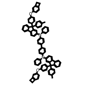 Cc1ccc(C2(c3ccc(Oc4ccc5c(c4)CC5)cc3)c3ccccc3-c3ccc(N(c4ccccc4)c4ccc(-c5ccc(N(c6ccccc6)c6ccc7c(c6)C(c6ccc(C)cc6)(C6C=CC(Oc8ccc9c(c8)CC9)=CC6)c6ccccc6-7)cc5)cc4)cc32)cc1